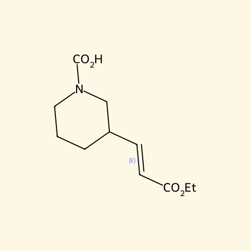 CCOC(=O)/C=C/C1CCCN(C(=O)O)C1